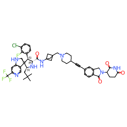 CC(C)(C)C[C@@H]1N[C@@H](C(=O)NC23CC(CN4CCC(C#Cc5ccc6c(c5)CN(C5CCC(=O)NC5=O)C6=O)CC4)(C2)C3)[C@H](c2cccc(Cl)c2F)[C@]12CNc1cc(C(F)(F)F)ncc12